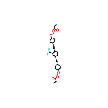 C=CC(=O)OCOc1ccc(C#Cc2ccc(C#Cc3ccc(OCOC(=O)C=C)cc3)c(C(F)F)c2)cc1